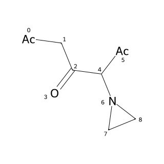 CC(=O)CC(=O)C(C(C)=O)N1CC1